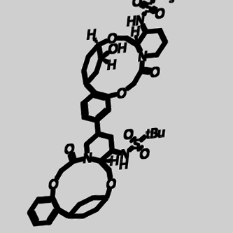 CC(C)(C)S(=O)(=O)NC1CC(c2ccc3c(c2)OCC(=O)N2CCCC(NS(C)(=O)=O)[C@@H]2CO[C@@H]2CCC3C[C@H]2O)CN2C(=O)COc3ccccc3C3CCC(CC3)OC[C@@H]12